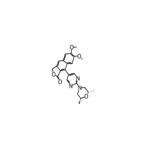 COc1cc2cc3c(c(-c4cnc(N5C[C@H](C)O[C@@H](C)C5)nc4)c2cc1OC)C(=O)OC3